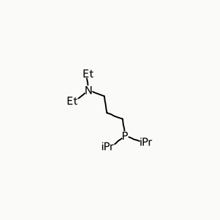 CCN(CC)CCCP(C(C)C)C(C)C